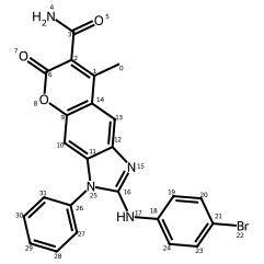 Cc1c(C(N)=O)c(=O)oc2cc3c(cc12)nc(Nc1ccc(Br)cc1)n3-c1ccccc1